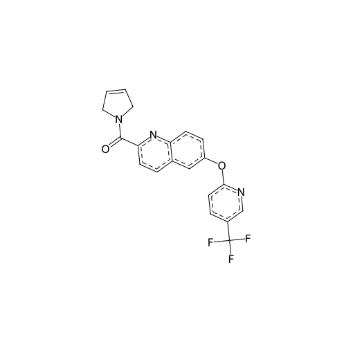 O=C(c1ccc2cc(Oc3ccc(C(F)(F)F)cn3)ccc2n1)N1CC=CC1